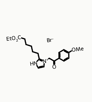 CCOC(=O)CCCCCc1[nH]cc[n+]1CC(=O)c1ccc(OC)cc1.[Br-]